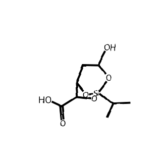 CC(C)[Si]12OC(O)CC(O1)C(C(=O)O)O2